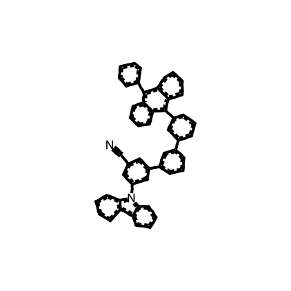 N#Cc1cc(-c2cccc(-c3cccc(-c4c5ccccc5c(-c5ccccc5)c5ccccc45)c3)c2)cc(-n2c3ccccc3c3ccccc32)c1